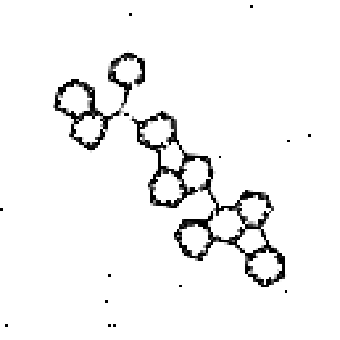 c1ccc(N(c2ccc3c(c2)-c2cccc4c(-c5c6ccccc6c6c7c(cccc57)-c5ccccc5-6)ccc-3c24)c2cccc3ccccc23)cc1